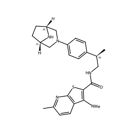 CNc1c(C(=O)NC[C@H](C)c2ccc(N3C[C@H]4CC[C@@H](C3)N4)cc2)sc2nc(C)ccc12